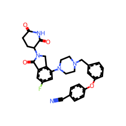 N#Cc1ccc(Oc2cccc(CN3CCN(c4cc(F)cc5c4CN(C4CCC(=O)NC4=O)C5=O)CC3)c2)cc1